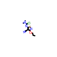 CCCOc1nsc(N=C(Cl)N(C)C)c1C#N